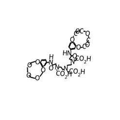 O=C(O)CN(CCN(CC(=O)O)CC(=O)Nc1ccc2c(c1)OCCOCCOCCOCCO2)CCN(CC(=O)O)CC(=O)Nc1ccc2c(c1)OCCOCCOCCOCCO2